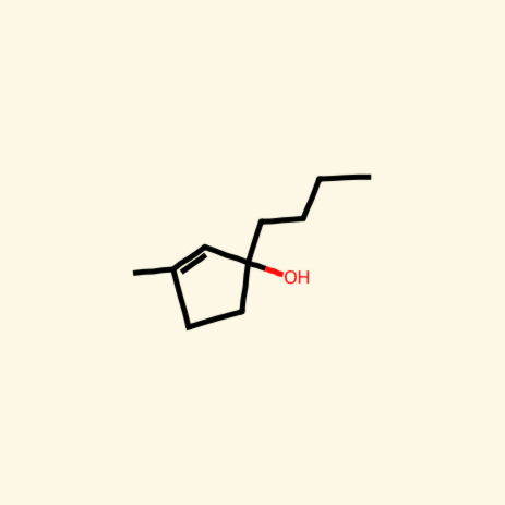 CCCCC1(O)C=C(C)CC1